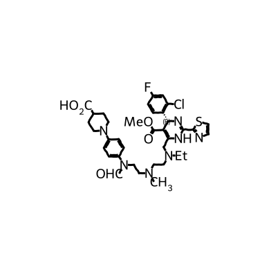 CCN(CCN(C)CCN(C=O)c1ccc(N2CCC(C(=O)O)CC2)cc1)CC1=C(C(=O)OC)[C@H](c2ccc(F)cc2Cl)N=C(c2nccs2)N1